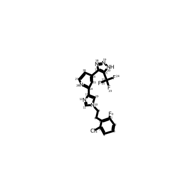 Fc1cccc(Cl)c1CCn1cnc(-c2cc(-c3nn[nH]c3C(F)(F)F)ccn2)c1